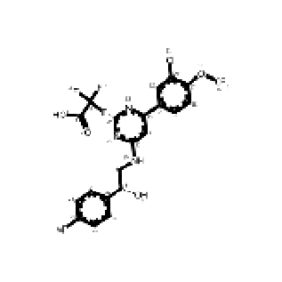 O=C(O)C(F)(F)F.O[C@@H](CNc1cc(-c2ccc(OC(F)(F)F)c(Cl)c2)ncn1)c1ccc(F)cc1